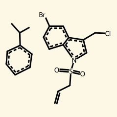 C=CCS(=O)(=O)n1cc(CCl)c2cc(Br)ccc21.CC(C)c1ccccc1